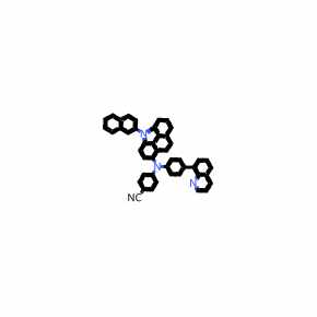 N#Cc1ccc(N(c2ccc(-c3cccc4cccnc34)cc2)c2ccc3c4c2ccc2cccc(c24)n3-c2ccc3ccccc3c2)cc1